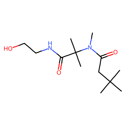 CN(C(=O)CC(C)(C)C)C(C)(C)C(=O)NCCO